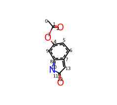 CC(=O)Oc1ccc2c(c1)=NC(=O)C=2